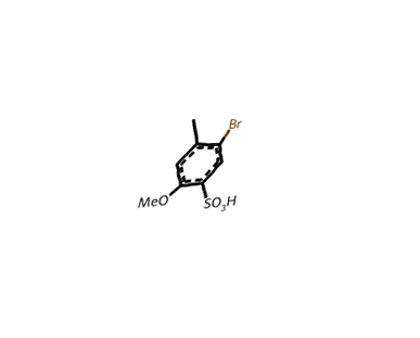 COc1cc(C)c(Br)cc1S(=O)(=O)O